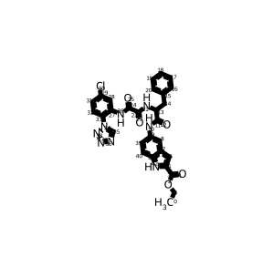 CCOC(=O)c1cc2cc(NC(=O)C(Cc3ccccc3)NC(=O)C(=O)Nc3cc(Cl)ccc3-n3cnnn3)ccc2[nH]1